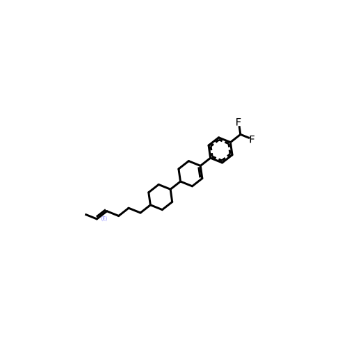 C/C=C/CCCC1CCC(C2CC=C(c3ccc(C(F)F)cc3)CC2)CC1